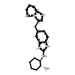 O[C@@H]1CCCC[C@H]1Nc1nc2ccc(Cc3cnc4cccnn34)cc2s1